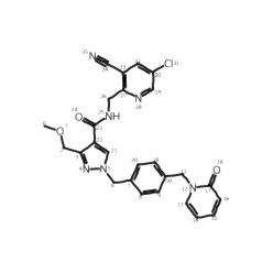 COCc1nn(Cc2ccc(Cn3ccccc3=O)cc2)cc1C(=O)NCc1ncc(Cl)cc1C#N